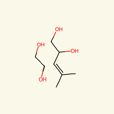 CC(C)=CC(O)CO.OCCO